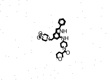 O=C(C1CCCOC1)N1CCC(Nc2cc(CN3CCS(=O)(=O)CC3)cc3cc(-c4ccccc4)[nH]c23)CC1